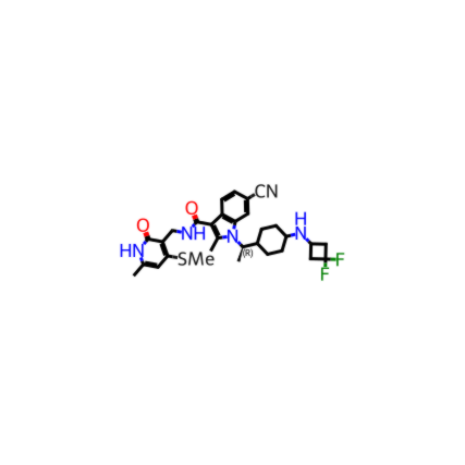 CSc1cc(C)[nH]c(=O)c1CNC(=O)c1c(C)n([C@H](C)C2CCC(NC3CC(F)(F)C3)CC2)c2cc(C#N)ccc12